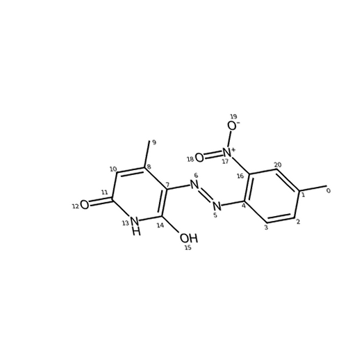 Cc1ccc(N=Nc2c(C)cc(=O)[nH]c2O)c([N+](=O)[O-])c1